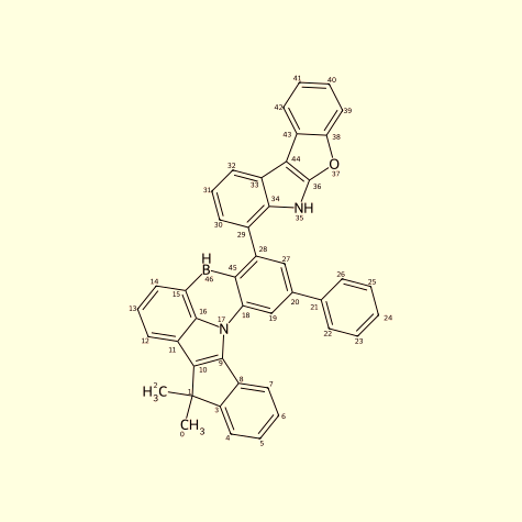 CC1(C)c2ccccc2-c2c1c1cccc3c1n2-c1cc(-c2ccccc2)cc(-c2cccc4c2[nH]c2oc5ccccc5c24)c1B3